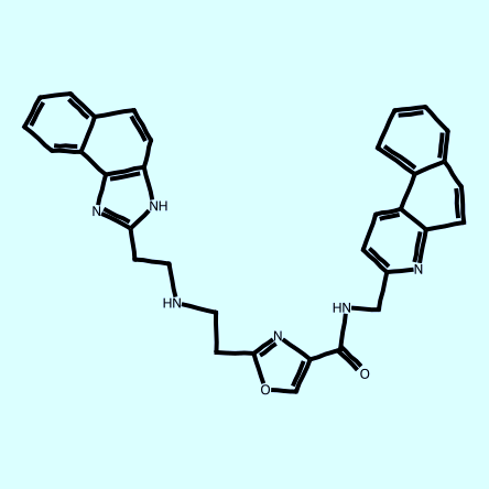 O=C(NCc1ccc2c(ccc3ccccc32)n1)c1coc(CCNCCc2nc3c(ccc4ccccc43)[nH]2)n1